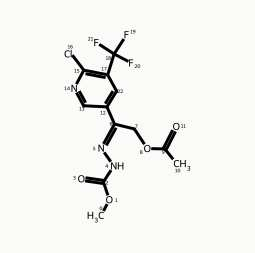 COC(=O)N/N=C(\COC(C)=O)c1cnc(Cl)c(C(F)(F)F)c1